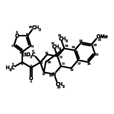 CCOC(=O)C1(C(=O)C(C)c2coc(C)c2)CC2(C)C3Cc4ccc(OC)cc4C2(C)CC1N3C